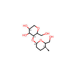 C[C@H]1CC[C@@H](O[C@@H]2C(CO)OC[C@H](O)C2O)OC1CO